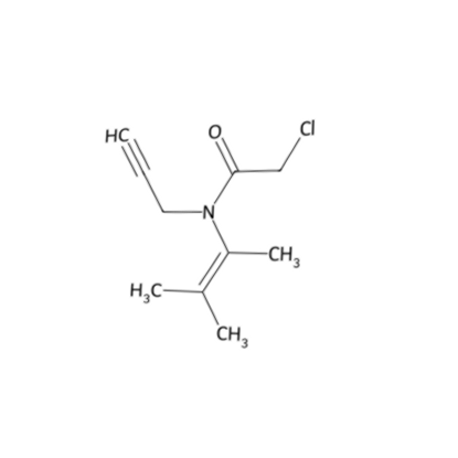 C#CCN(C(=O)CCl)C(C)=C(C)C